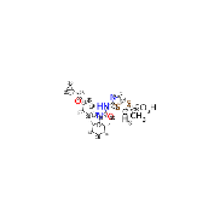 CC(C)(Sc1cnc(NC(=O)N(C2CCCCC2)C2CCC(OCC3CC3)CC2)s1)C(=O)O